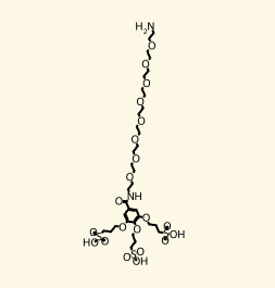 NCCOCCOCCOCCOCCOCCOCCOCCOCCNC(=O)c1cc(OCCCS(=O)(=O)O)c(OCCCS(=O)(=O)O)c(OCCCS(=O)(=O)O)c1